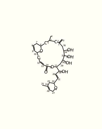 C=C1CC(C)CC2CC=CC(C/C=C\C(=O)OC(C(O)/C=C/C3CC(C)=CCO3)CC(O)C(O)C(O)C1)O2